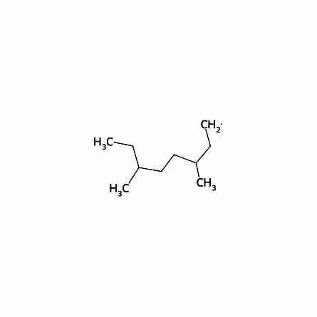 [CH2]CC(C)CCC(C)CC